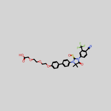 CC1(C)C(=O)N(c2ccc(C#N)c(C(F)(F)F)c2)C(=S=O)N1c1ccc(-c2ccc(OCCOCCOCC(=O)O)cc2)cc1